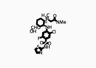 CNC(=O)CN(C)[C@H]1CCCC[C@@H]1Nc1cc(F)c(S(=O)(=O)Nc2nccs2)cc1Cl.O=CO